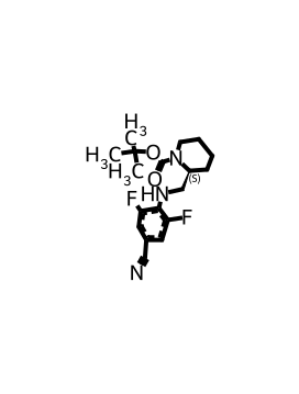 CC(C)(C)OC(=O)N1CCCC[C@H]1CNc1c(F)cc(C#N)cc1F